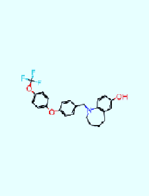 Oc1ccc2c(c1)CCCCN2Cc1ccc(Oc2ccc(OC(F)(F)F)cc2)cc1